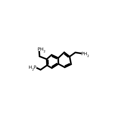 PCc1ccc2cc(CP)c(CP)cc2c1